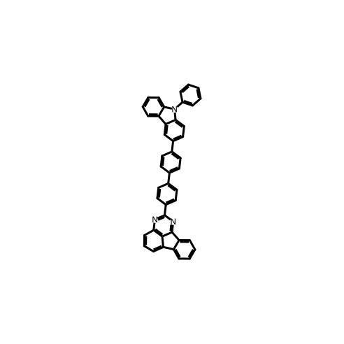 c1ccc(-n2c3ccccc3c3cc(-c4ccc(-c5ccc(-c6nc7c8c(cccc8n6)-c6ccccc6-7)cc5)cc4)ccc32)cc1